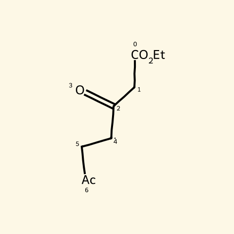 CCOC(=O)CC(=O)[CH]CC(C)=O